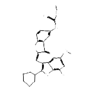 CNC(=O)Nc1ccc2c(c1)C(=O)C(=Cc1c(C3CCCCC3)[nH]c3c(F)cc(OC)cc13)O2